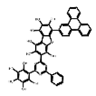 Oc1c(O)c(O)c(-c2nc(-c3ccccc3)nc(-c3c(O)c(O)c4c(oc5c(-c6ccc7c8ccccc8c8ccccc8c7c6)c(O)c(O)c(O)c54)c3O)n2)c(O)c1O